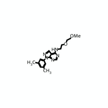 COCCOCCNc1ncnc2c1cnn2-c1cc(C)cc(C)c1